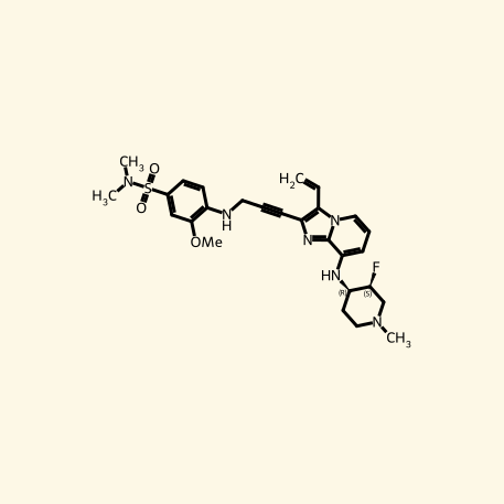 C=Cc1c(C#CCNc2ccc(S(=O)(=O)N(C)C)cc2OC)nc2c(N[C@@H]3CCN(C)C[C@@H]3F)cccn12